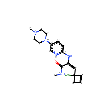 CNC(=O)/C(=C\C1(Cl)C=CC1)Nc1ccc(N2CCN(C)CC2)cn1